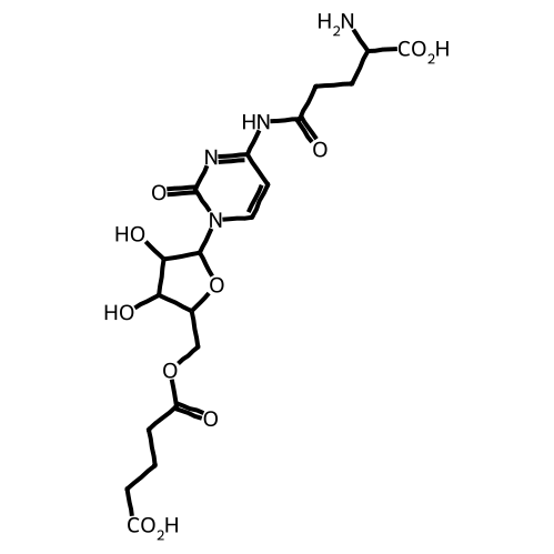 NC(CCC(=O)Nc1ccn(C2OC(COC(=O)CCCC(=O)O)C(O)C2O)c(=O)n1)C(=O)O